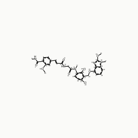 CNC(=O)c1ccc(C=CC(=O)NCC(=O)N(C)c2ccc(Cl)c(COc3cccc4c3nc(OC)n4C)c2Cl)cc1OC